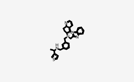 CC(NCc1cccc(CN(Cc2nc3ccccc3[nH]2)C2C=C3C=CC=NC3CC2)c1)c1ccsc1